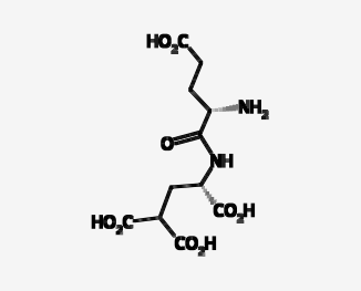 N[C@@H](CCC(=O)O)C(=O)N[C@@H](CC(C(=O)O)C(=O)O)C(=O)O